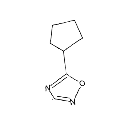 [c]1noc(C2CCCC2)n1